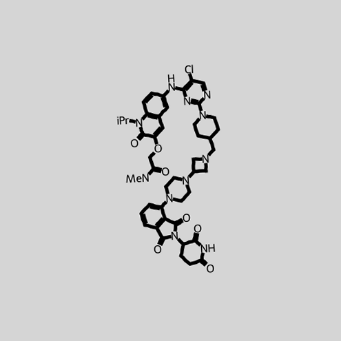 CNC(=O)COc1cc2cc(Nc3nc(N4CCC(CN5CC(N6CCN(c7cccc8c7C(=O)N(C7CCC(=O)NC7=O)C8=O)CC6)C5)CC4)ncc3Cl)ccc2n(C(C)C)c1=O